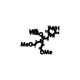 COCCN(CCOC)C(=O)CN1CCNCC1.Cl.Cl